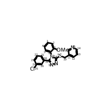 COc1ccccc1-n1c(SCc2cccnc2)nnc1-c1cccc(Cl)c1